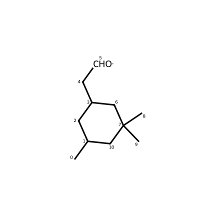 CC1CC(C[C]=O)CC(C)(C)C1